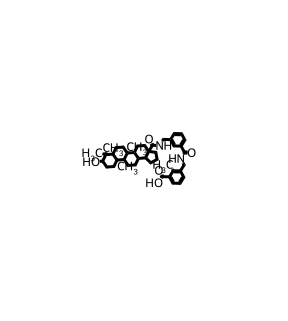 Cc1c(CNC(=O)c2cccc(CNC(=O)C34CCCC3C3CCC5C(C)(CCC6C(C)(C)C(O)CCC65C)C3CC4)c2)cccc1C(=O)O